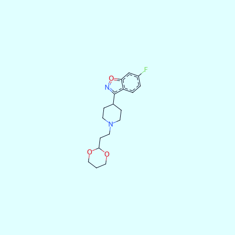 Fc1ccc2c(C3CCN(CCC4OCCCO4)CC3)noc2c1